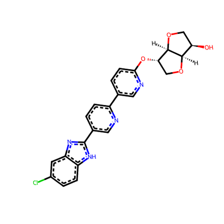 O[C@@H]1CO[C@H]2[C@@H]1OC[C@@H]2Oc1ccc(-c2ccc(-c3nc4cc(Cl)ccc4[nH]3)cn2)cn1